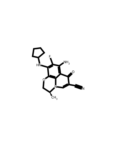 C[C@H]1COc2c(NC3CCCC3)c(F)c(N)c3c(=O)c(C#N)cn1c23